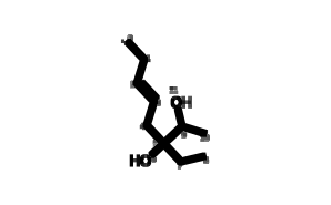 [CH2]CC=CCC(O)(CC)C(C)O